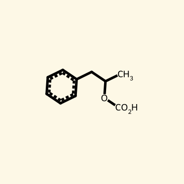 CC(Cc1ccccc1)OC(=O)O